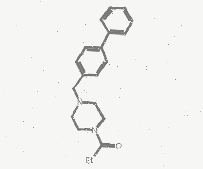 [CH2]CC(=O)N1CCN(Cc2ccc(-c3ccccc3)cc2)CC1